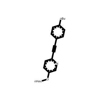 CCCCCCOc1ccc(C#Cc2ccc(CCCC)cc2)nc1